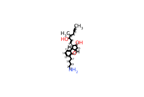 CC#CC[C@H](C)[C@H](O)/C=C/[C@@H]1[C@H]2c3cccc(CCCCN)c3O[C@H]2C[C@H]1O